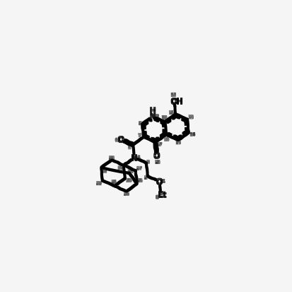 CCOCCN(C(=O)c1c[nH]c2c(O)cccc2c1=O)C12CC3CC(CC(C3)C1)C2